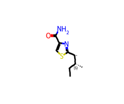 CC[C@@H](C)[CH]c1nc(C(N)=O)cs1